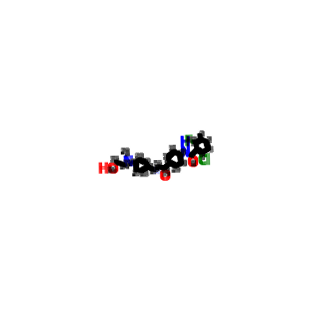 Cc1ccc(Cl)c(C(=O)Nc2ccc(C(=O)/C=C/c3ccc(N(C)CCO)cc3)cc2)c1F